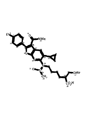 CCc1ccc(-c2oc3nc(N(CCCCC(COC)C(=O)O)[S+](C)[O-])c(C4CC4)cc3c2C(=O)NC)cc1